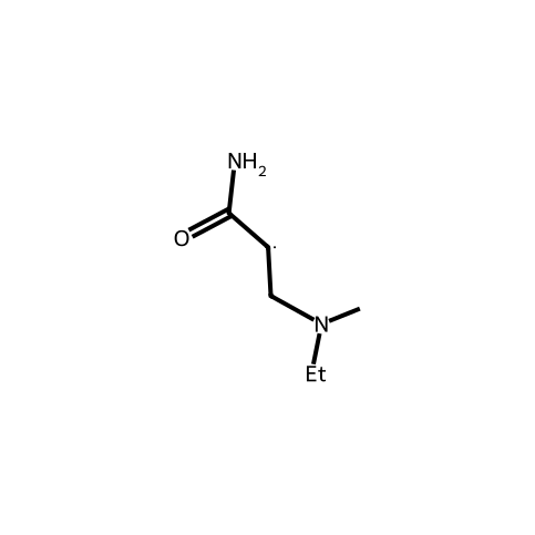 CCN(C)C[CH]C(N)=O